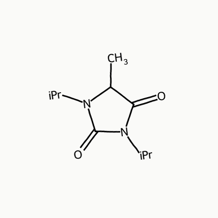 CC(C)N1C(=O)C(C)N(C(C)C)C1=O